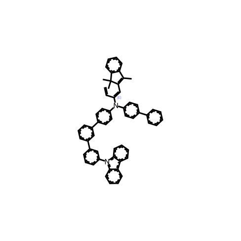 C=C/C(=C\C1=C(C)c2ccccc2C1(C)C)N(c1ccc(-c2ccccc2)cc1)c1ccc(-c2cccc(-c3cccc(-n4c5ccccc5c5ccccc54)c3)c2)cc1